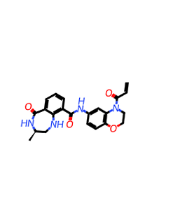 C=CC(=O)N1CCOc2ccc(NC(=O)c3cccc4c3NC[C@@H](C)NC4=O)cc21